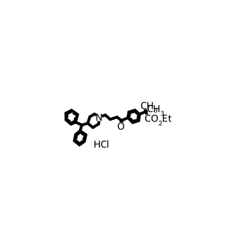 CCOC(=O)C(C)(C)c1ccc(C(=O)CCCN2CCC(C(c3ccccc3)c3ccccc3)CC2)cc1.Cl